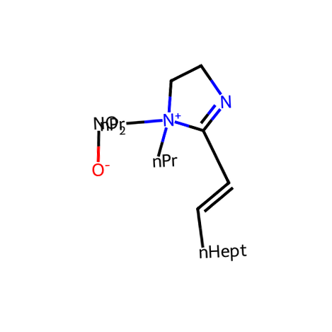 CCCCCCCC=CC1=NCC[N+]1(CCC)CCC.O=[N+]([O-])[O-]